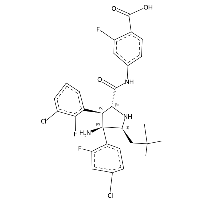 CC(C)(C)C[C@@H]1N[C@@H](C(=O)Nc2ccc(C(=O)O)c(F)c2)[C@H](c2cccc(Cl)c2F)[C@@]1(N)c1ccc(Cl)cc1F